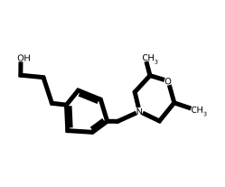 CC1CN(Cc2ccc(CCCO)cc2)CC(C)O1